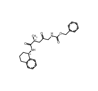 C[C@@H](CC(=O)CNC(=O)OCc1ccccc1)C(=O)N[C@@H]1CCCc2ccccc21